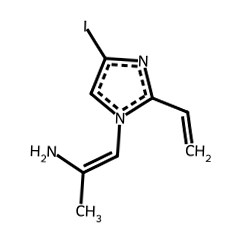 C=Cc1nc(I)cn1/C=C(/C)N